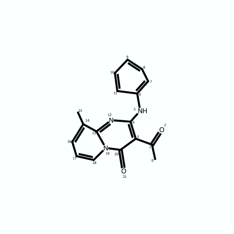 CC(=O)c1c(Nc2ccccc2)nc2c(C)cccn2c1=O